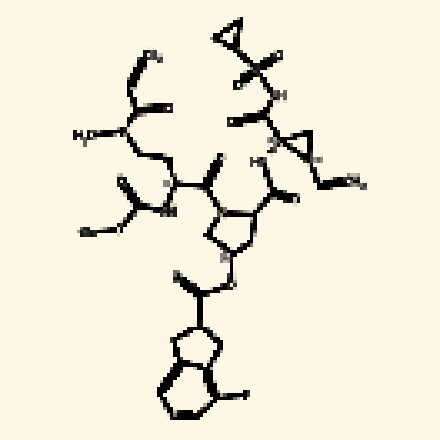 C=CC(=O)N(C)CC[C@H](NC(=O)OC(C)(C)C)C(=O)N1C[C@H](OC(=O)N2Cc3cccc(F)c3C2)CC1C(=O)N[C@]1(C(=O)NS(=O)(=O)C2CC2)C[C@H]1C=C